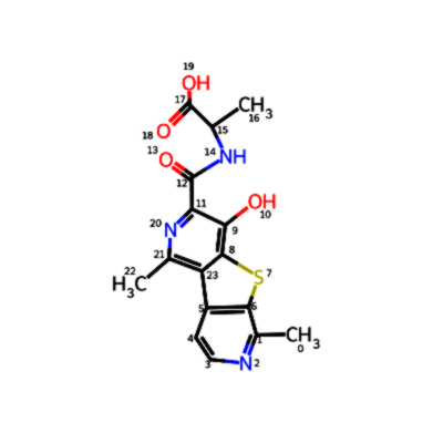 Cc1nccc2c1sc1c(O)c(C(=O)NC(C)C(=O)O)nc(C)c12